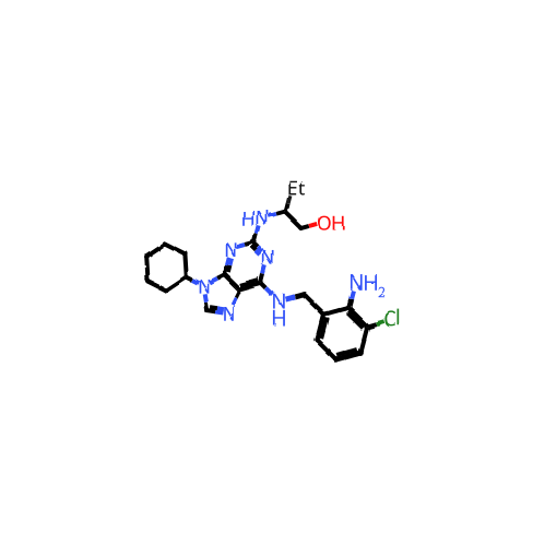 CCC(CO)Nc1nc(NCc2cccc(Cl)c2N)c2ncn(C3CCCCC3)c2n1